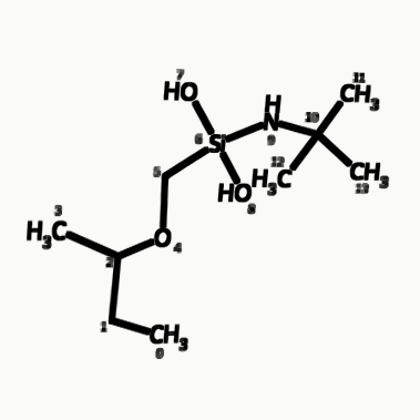 CCC(C)OC[Si](O)(O)NC(C)(C)C